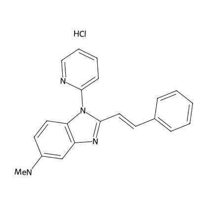 CNc1ccc2c(c1)nc(C=Cc1ccccc1)n2-c1ccccn1.Cl